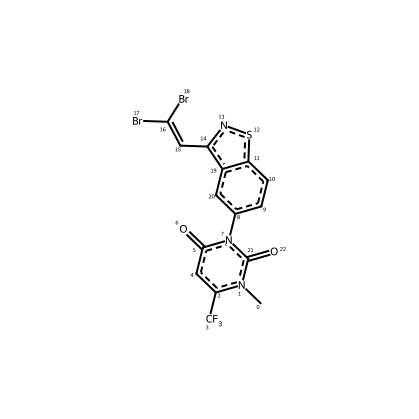 Cn1c(C(F)(F)F)cc(=O)n(-c2ccc3snc(C=C(Br)Br)c3c2)c1=O